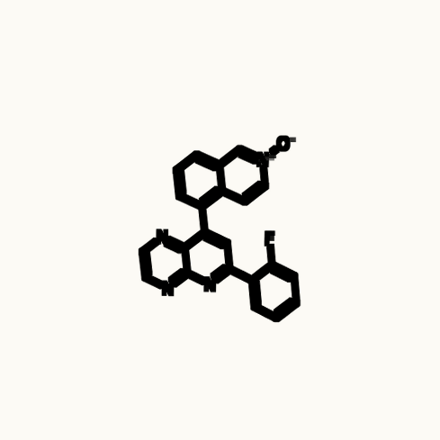 [O-][n+]1ccc2c(-c3cc(-c4ccccc4F)nc4nccnc34)cccc2c1